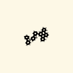 c1cc(-c2cc3c4ccccc4c4cccc5c6ccccc6c(c2)c3c45)c2sc3ccc(-n4c5ccccc5c5ccccc54)cc3c2c1